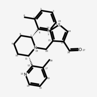 Cc1cccnc1[C@H]1CCC[C@@H](c2ncccc2C)N1Cc1cscc1C=O